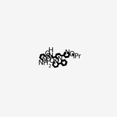 CC(C)Oc1ccc(-c2ccc(C(=O)NS(=O)(=O)c3cccc(N)n3)c(N3CCCCC3c3ccccc3)n2)cn1